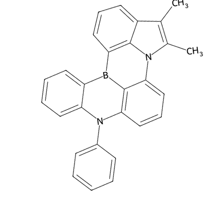 Cc1c(C)n2c3c(cccc13)B1c3ccccc3N(c3ccccc3)c3cccc-2c31